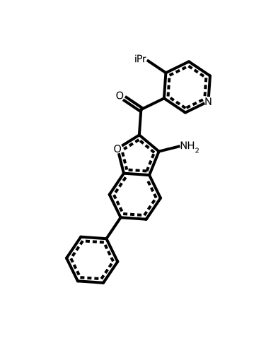 CC(C)c1ccncc1C(=O)c1oc2cc(-c3ccccc3)ccc2c1N